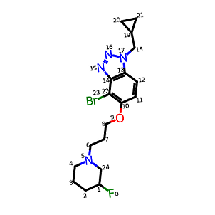 FC1CCCN(CCCOc2ccc3c(nnn3CC3CC3)c2Br)C1